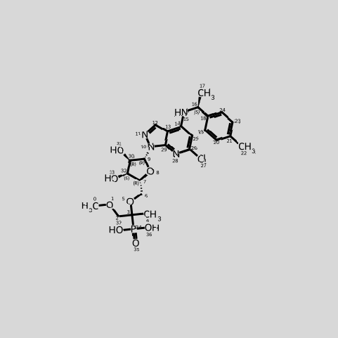 COCC(C)(OC[C@H]1O[C@@H](n2ncc3c(N[C@@H](C)c4ccc(C)cc4)cc(Cl)nc32)[C@H](O)[C@@H]1O)P(=O)(O)O